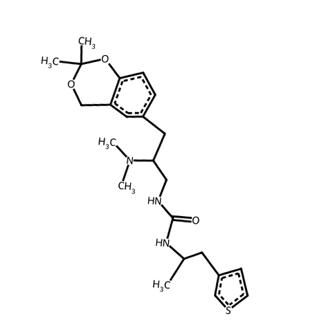 CC(Cc1ccsc1)NC(=O)NCC(Cc1ccc2c(c1)COC(C)(C)O2)N(C)C